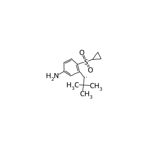 CC(C)(C)[CH]c1cc(N)ccc1S(=O)(=O)C1CC1